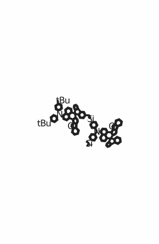 CC(C)(C)c1ccc(N(c2ccc(C(C)(C)C)cc2)c2ccc3c4c(cccc24)C2(c4ccccc4-c4cc(C[Si](C)(C)c5ccc(N(c6ccc([Si](C)(C)C)cc6)c6ccc7c8c(cccc68)C6(c8ccccc8-c8ccccc86)c6ccc8c(oc9ccccc98)c6-7)cc5)ccc42)c2ccc4c(oc5ccccc54)c2-3)cc1